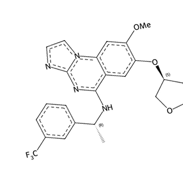 COc1cc2c(cc1O[C@H]1CCOC1)c(N[C@H](C)c1cccc(C(F)(F)F)c1)nc1nccn12